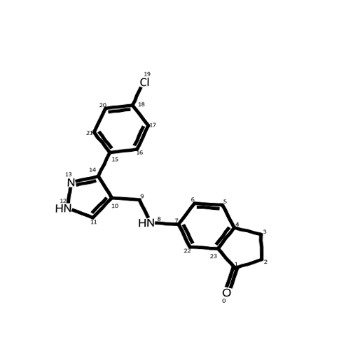 O=C1CCc2ccc(NCc3c[nH]nc3-c3ccc(Cl)cc3)cc21